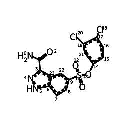 NC(=O)c1n[nH]c2ccc(S(=O)(=O)Oc3ccc(Cl)c(Cl)c3)cc12